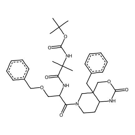 CC(C)(C)OC(=O)NC(C)(C)C(=O)NC(COCc1ccccc1)C(=O)N1CCC2NC(=O)OCC2(Cc2ccccc2)C1